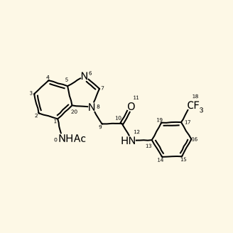 CC(=O)Nc1cccc2ncn(CC(=O)Nc3cccc(C(F)(F)F)c3)c12